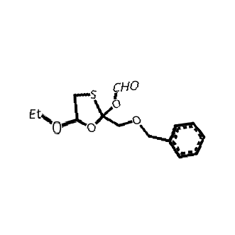 CCOC1CSC(COCc2ccccc2)(OC=O)O1